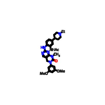 CCN1CCC(c2ccc(Nc3ncc4c(n3)N(C)C(=O)N(c3cc(OC)cc(OC)c3)C4)c(NC(C)=O)c2)CC1